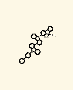 CC1(C)c2ccccc2-c2ccc(-n3c4ccccc4c4c(-c5cccc6c5c5ccccc5n6-c5ccc(-c6ccccc6)cc5)cccc43)cc21